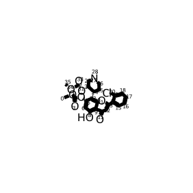 COC(=O)Oc1cc(O)c2c(=O)cc(-c3ccccc3Cl)oc2c1[C@H]1CCN(C)C[C@H]1OC(=O)OC